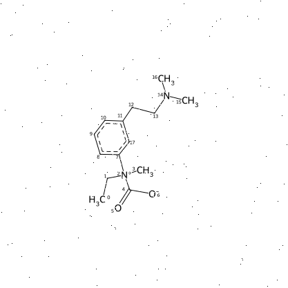 CC[N+](C)(C(=O)[O-])c1cccc(CCN(C)C)c1